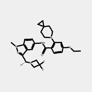 CCSc1ccc(C(=O)Nc2ccc3c(c2)c([C@@H](C)N2CC(F)(F)C2)nn3C)c(N2CCC3(CC2)CC3)c1